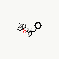 CCC(CC)(O[Si](C)(C)[C@](C)(CC)Cc1ccccc1)[Si](C)(C)C